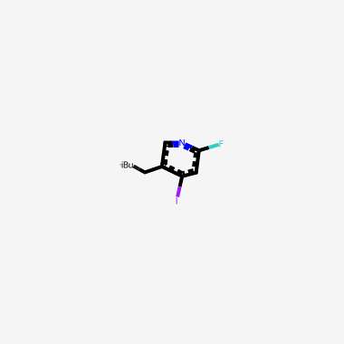 CC[C](C)Cc1cnc(F)cc1I